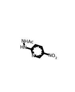 CC(=O)NNc1ccc([N+](=O)[O-])cn1